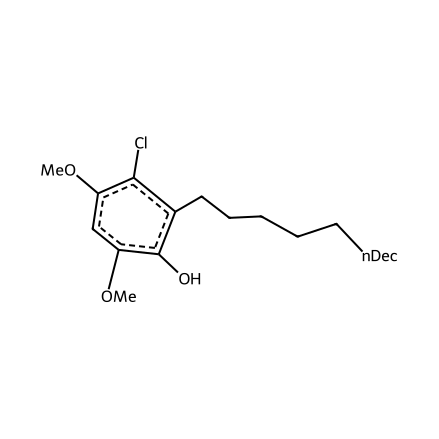 CCCCCCCCCCCCCCCc1c(O)c(OC)cc(OC)c1Cl